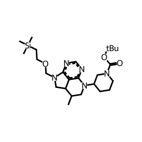 CC1CN(C2CCCN(C(=O)OC(C)(C)C)C2)c2ncnc3c2C1CN3COCC[Si](C)(C)C